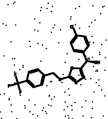 O[C@H](c1ccc(Cl)cc1)c1nnc(SCc2ccc(C(F)(F)F)cc2)o1